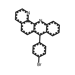 Brc1ccc(-c2c3ccccc3nc3c2ccc2cccnc23)cc1